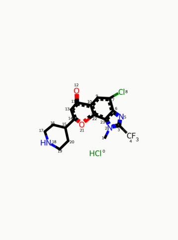 Cl.Cn1c(C(F)(F)F)nc2c(Cl)cc3c(=O)cc(C4CCNCC4)oc3c21